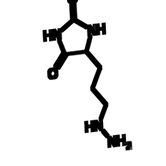 NNCCCC1NC(=O)NC1=O